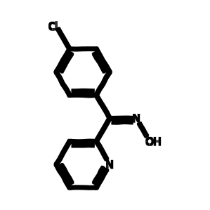 ON=C(c1ccc(Cl)cc1)c1ccccn1